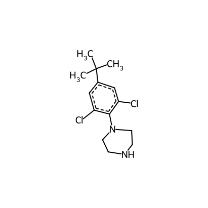 CC(C)(C)c1cc(Cl)c(N2CCNCC2)c(Cl)c1